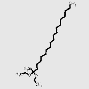 CCCCCCCCCCCCCCCCCCC([SiH3])(OCC)OCC